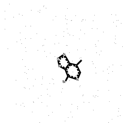 Cc1cnc(Br)c2nsnc12